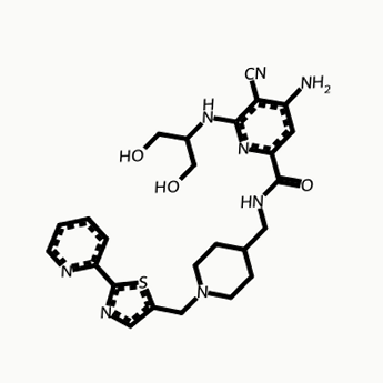 N#Cc1c(N)cc(C(=O)NCC2CCN(Cc3cnc(-c4ccccn4)s3)CC2)nc1NC(CO)CO